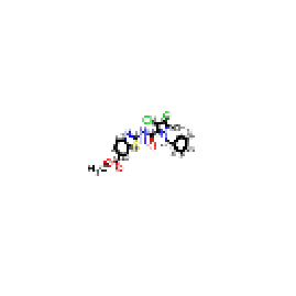 COC(=O)c1ccc2nc(NC(=O)c3c(Cl)c(Cl)c(C)n3Cc3ccccc3)sc2c1